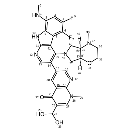 CNc1cc(F)c(F)c2c1[nH]c1ncc(-c3cnc4c(c3)c(=O)c(C(O)O)cn4C)c(N3C[C@@H]4OCCN(C)[C@@H]4C3)c12